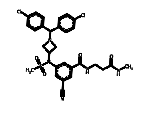 CNC(=O)CCNC(=O)c1cc(C#N)cc(N(C2CN(C(c3ccc(Cl)cc3)c3ccc(Cl)cc3)C2)S(C)(=O)=O)c1